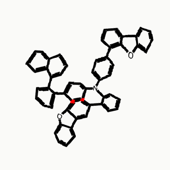 c1ccc(-c2cccc3ccccc23)c(-c2ccc(N(c3ccc(-c4cccc5c4oc4ccccc45)cc3)c3ccccc3-c3ccc4oc5ccccc5c4c3)cc2)c1